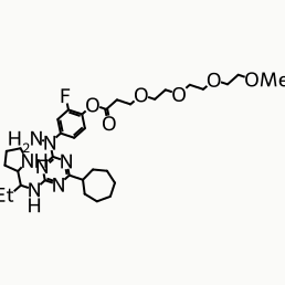 CCC(Nc1nc(C2CCCCCC2)nc(N(N)c2ccc(OC(=O)CCOCCOCCOCCOC)c(F)c2)n1)C1CCCN1